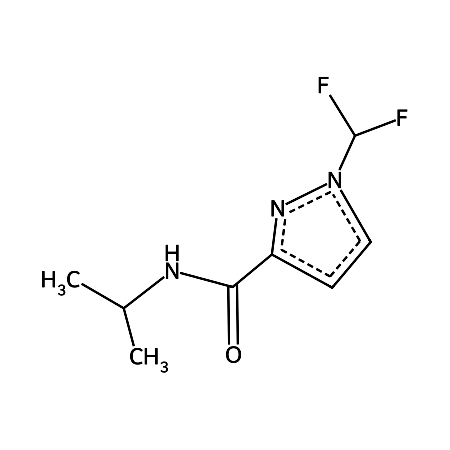 CC(C)NC(=O)c1ccn(C(F)F)n1